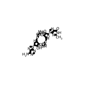 COC1[C@H]2OP(=O)(O)OC[C@H]3C[C@@H](n4cnc5c(N)ncnc54)C(O)[C@H]3OP(=O)(O)OC[C@H]2O[C@H]1n1cnc2c(=O)[nH]c(C)nc21